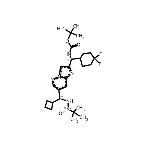 CC(C)(C)OC(=O)N[C@H](c1cn2ncc([C@@H](N[S@@+]([O-])C(C)(C)C)C3CCC3)cc2n1)C1CCC(F)(F)CC1